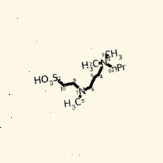 CCC[N+](C)(C)CCCN(C)CCS(=O)(=O)O